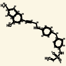 C=CS(=O)(=O)Nc1ccc(Cc2ccc(NCC#Cc3cc(O)c4nc(N)sc4c3)cc2)cc1